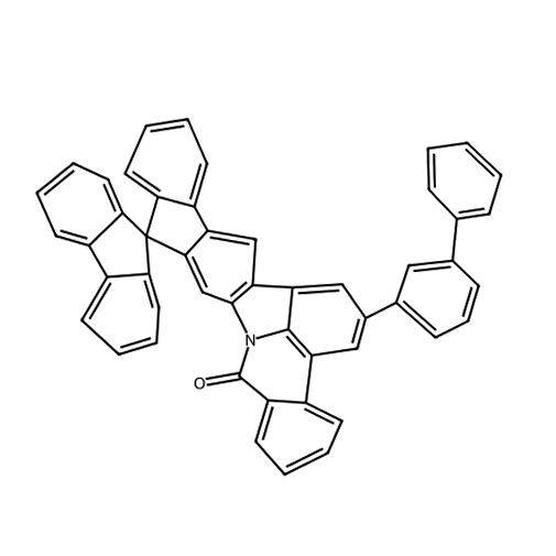 O=c1c2ccccc2c2cc(-c3cccc(-c4ccccc4)c3)cc3c4cc5c(cc4n1c23)C1(c2ccccc2-c2ccccc21)c1ccccc1-5